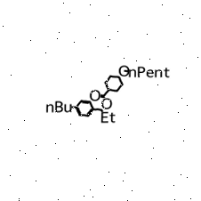 CCCCCOC1CCC(C(=O)OC(CC)c2ccc(CCCC)cc2)CC1